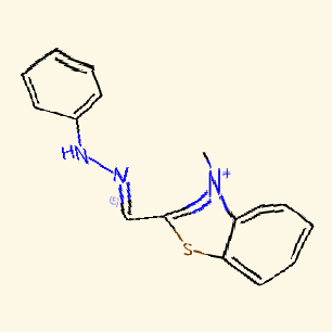 C[n+]1c(/C=N/Nc2ccccc2)sc2ccccc21